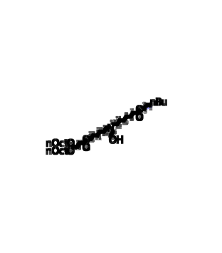 CCCC/C=C/COC(=O)CCCCCCCN(CCO)CCCCCCOC(=O)CCC(OCCCCCCCC)OCCCCCCCC